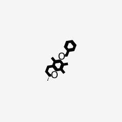 Cc1c(C)c2c(c(C)c1OCc1ccccc1)CC[C@@H](C)O2